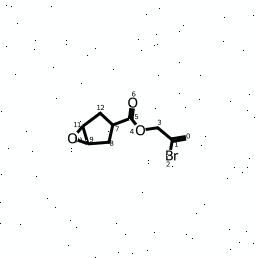 C=C(Br)COC(=O)C1CC2OC2C1